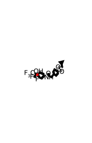 O=C(Cc1ccc(S(=O)(=O)CC2CC2)cc1)Nc1ccc([C@@](O)(C(F)F)C(F)(F)F)cc1